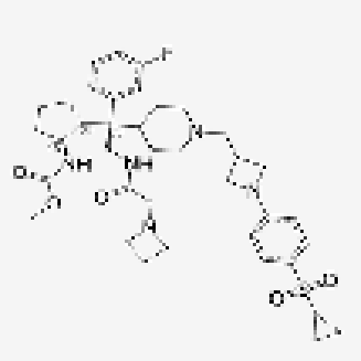 COC(=O)N[C@H]1CCC[C@@H]1[C@](CNC(=O)CN1CCC1)(c1cccc(F)c1)C1CCN(CC2CN(c3ccc(S(=O)(=O)C4CC4)cc3)C2)CC1